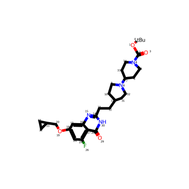 CC(C)(C)OC(=O)N1CCC(N2CCC(CCc3nc4cc(OCC5CC5)cc(F)c4c(=O)[nH]3)CC2)CC1